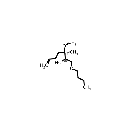 C=CCC[C@@](C)(OC)[C@H](O)COCCCC